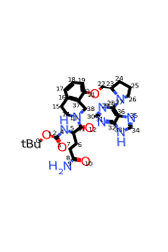 CC(C)(C)OC(=O)NC(CCC(N)=O)C(=O)N1CCc2cccc(OC[C@H]3CCCN3c3ncnc4[nH]cnc34)c2C1